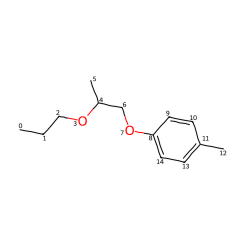 CCCOC(C)COc1ccc(C)cc1